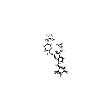 CC(=O)NC1CCC(Nc2nc(NC3CC3)n3ncc(/C=C4\NC(=O)NC4=O)c3n2)CC1